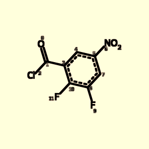 O=C(Cl)c1cc([N+](=O)[O-])cc(F)c1F